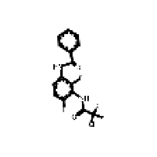 CC(Cl)(Cl)C(=O)Nc1c(F)ccc(NC(=O)c2ccccc2)c1F